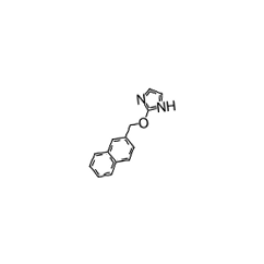 c1ccc2cc(COc3ncc[nH]3)ccc2c1